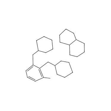 C1CCC2CCCCC2C1.Cc1cccc(CC2CCCCC2)c1CC1CCCCC1